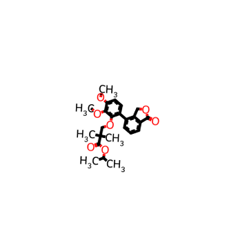 COc1ccc(-c2cccc3c2COC3=O)c(OCC(C)(C)C(=O)OC(C)C)c1OC